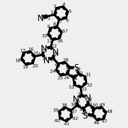 N#Cc1ccccc1-c1ccc(-c2nc(-c3ccccc3)nc(-c3ccc4c(c3)sc3ccc(-c5nc(-c6ccccc6)c6sc7ccccc7c6n5)cc34)n2)cc1